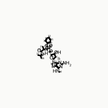 CNc1nc(N)nc2c1ncn2[C@@H]1O[C@H](COP(=O)(NC(C)C(=O)OC(C)C)Oc2ccccc2)[C@@H](O)[C@@H]1C